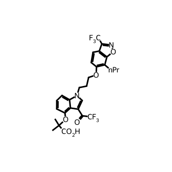 CCCc1c(OCCCn2cc(C(=O)C(F)(F)F)c3c(OC(C)(C)C(=O)O)cccc32)ccc2c(C(F)(F)F)noc12